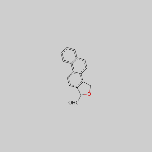 O=CC1OCc2c1ccc1c2ccc2ccccc21